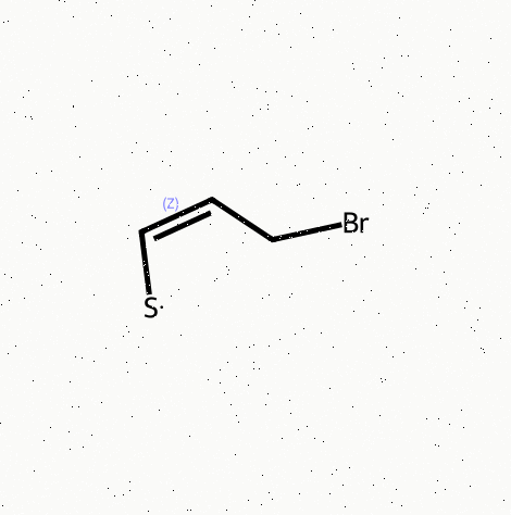 [S]/C=C\CBr